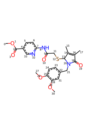 COC(=O)c1ccc(NC(=O)CSC2C(C)=C(C)C(=O)N2Cc2ccc(OC)c(OC)c2)nc1